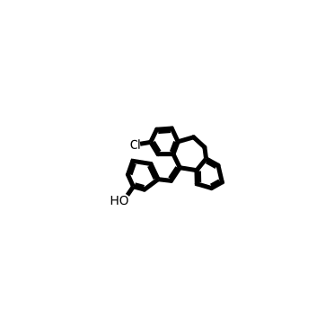 Oc1cccc(C=C2c3ccccc3CCc3ccc(Cl)cc32)c1